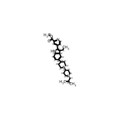 CCc1c(-c2ccnc(C(=O)OC)c2)[nH]c2ccc(C3CCN(C4CCN(CC(C)C)CC4)CC3)cc12